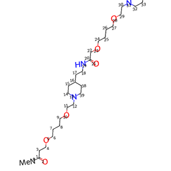 CNC(=O)CCOCCCCOCCN1CCC(CCNC(=O)COCCCCOCCN2CCC(C)CC2)CC1